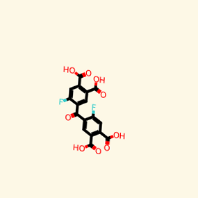 O=C(c1cc(C(=O)O)c(C(=O)O)cc1F)c1cc(C(=O)O)c(C(=O)O)cc1F